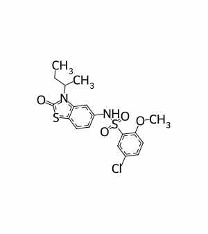 CCC(C)n1c(=O)sc2ccc(NS(=O)(=O)c3cc(Cl)ccc3OC)cc21